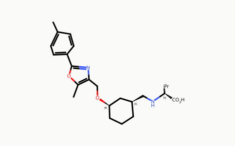 Cc1ccc(-c2nc(CO[C@@H]3CCC[C@H](CN[C@H](C(=O)O)C(C)C)C3)c(C)o2)cc1